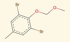 COCOc1c(Br)cc(C)cc1Br